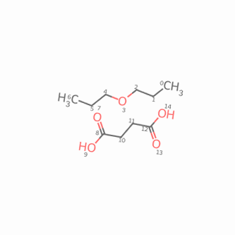 CCCOCCC.O=C(O)CCC(=O)O